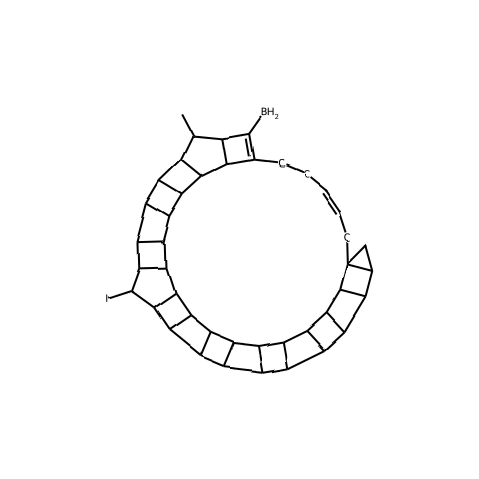 BC1=C2CCC=CCC34CC3C3C5C6C7C8C9C%10C%11C%12C(I)C%13C(C%12C%11C%10C9C8C7C6C5C34)C3C%13C4C5C6C(C)C1C2C6C5C43